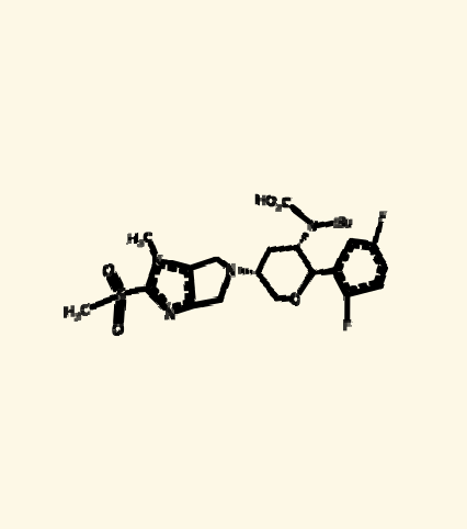 Cn1c(S(C)(=O)=O)nc2c1CN([C@H]1CO[C@H](c3cc(F)ccc3F)[C@@H](N(C(=O)O)C(C)(C)C)C1)C2